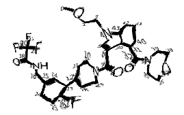 COCCn1cc(C(=O)N2CCC(c3cc(CNC(=O)C(F)(F)F)ccc3F)CC2)c2c(C(=O)N3CCOCC3)cccc21